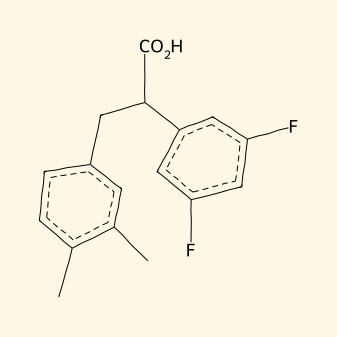 Cc1ccc(CC(C(=O)O)c2cc(F)cc(F)c2)cc1C